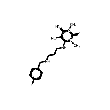 Cn1c(NCCCNCc2ccc(F)cc2)c(C#N)c(=N)n(C)c1=S